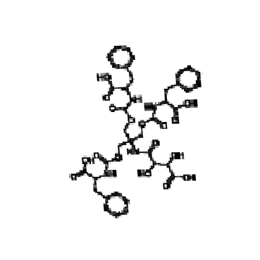 O=C(NC(Cc1ccccc1)C(=O)O)OCC(COC(=O)NC(Cc1ccccc1)C(=O)O)(COC(=O)NC(Cc1ccccc1)C(=O)O)NC(=O)C(O)C(O)C(=O)O